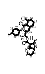 Cc1nn2cccnc2c1C(=O)N[C@@H](C)c1cc2cccc(Cl)c2c(=O)n1-c1ccc(F)cc1